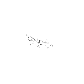 CN1CCn2c(-c3cc4cc(F)ccc4n3CC3CC3)nc3cc(C(=O)N4CCCC(N)C4)cc1c32